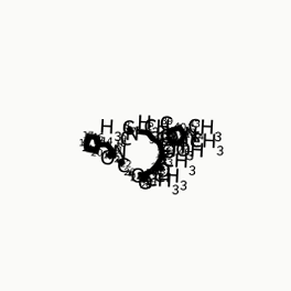 CO[C@]1(C)C[C@@H](C)CN(C)CCN(C(=O)Cc2ccccc2)CCCOC(=O)C(C)(C)C(=O)[C@H](C)[C@H]1O[C@@H]1O[C@H](C)C[C@H](N(C)C)[C@H]1O